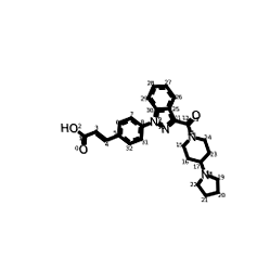 O=C(O)C=Cc1ccc(-n2nc(C(=O)N3CCC(N4CCCC4)CC3)c3ccccc32)cc1